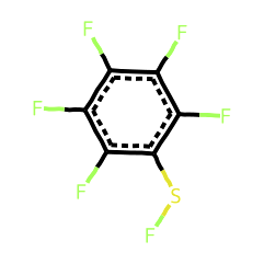 FSc1c(F)c(F)c(F)c(F)c1F